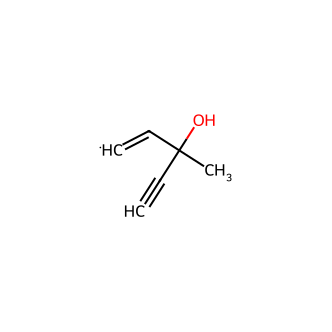 [CH]=CC(C)(O)C#C